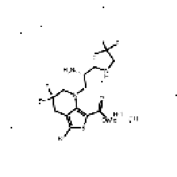 COC(=O)c1sc(Br)c2c1N(C[C@H](N)[C@@H]1CC(F)(F)CN1)CC(F)(F)C2.Cl.Cl